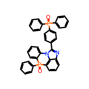 O=P(c1ccccc1)(c1ccccc1)c1ccc(-c2nc3cccc4c3n2-c2ccccc2P4(=O)c2ccccc2)cc1